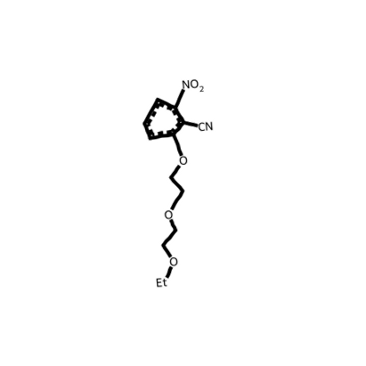 CCOCCOCCOc1cccc([N+](=O)[O-])c1C#N